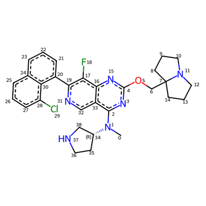 CN(c1nc(OCC23CCCN2CCC3)nc2c(F)c(-c3cccc4cccc(Cl)c34)ncc12)[C@@H]1CCNC1